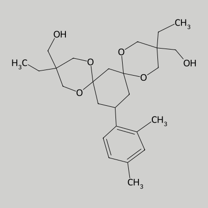 CCC1(CO)COC2(CC(c3ccc(C)cc3C)CC3(C2)OCC(CC)(CO)CO3)OC1